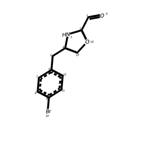 O=CC1NC(Cc2ccc(Br)cc2)CO1